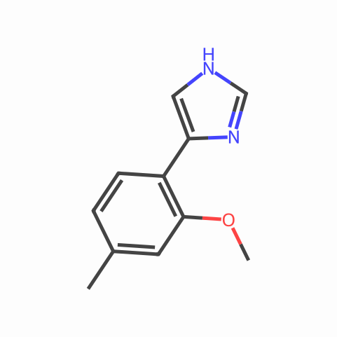 COc1cc(C)ccc1-c1c[nH]cn1